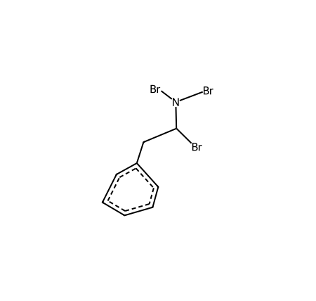 BrC(Cc1ccccc1)N(Br)Br